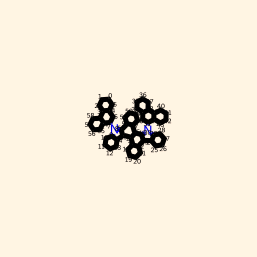 c1ccc2c(c1)cc(-n1c3ccccc3c3c4c5ccccc5c5c6ccccc6n(-c6cc7ccccc7c7ccccc67)c5c4c4ccccc4c31)c1ccccc12